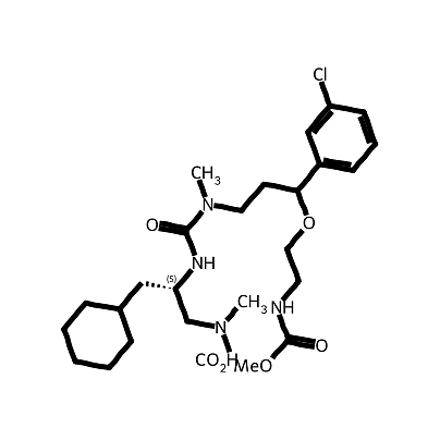 COC(=O)NCCOC(CCN(C)C(=O)N[C@@H](CC1CCCCC1)CN(C)C(=O)O)c1cccc(Cl)c1